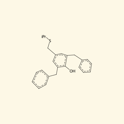 CC(C)SCc1cc(Cc2ccccc2)c(O)c(Cc2ccccc2)c1